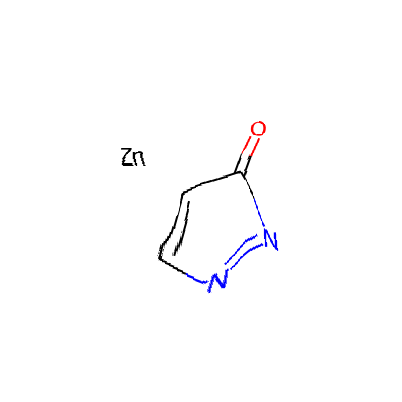 O=C1C=CN=N1.[Zn]